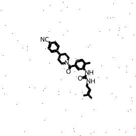 CC(C)=CCNC(=O)Nc1cc(C(=O)N2CCC(c3ccc(C#N)cc3)CC2)ccc1C